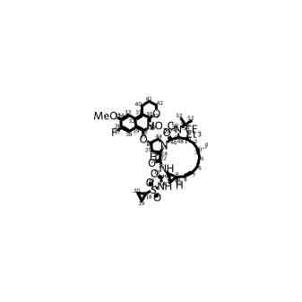 CC[C@@H]1C[C@H](C)CCC=C[C@@H]2C[C@@]2(C(=O)NS(=O)(=O)C2CC2)NC(=O)[C@@H]2C[C@@H](Oc3nc4c(c5cc(OC)c(F)cc35)CCCO4)CN2C(=O)[C@H]1N(C(=O)O)C(C)(C)C(F)(F)F